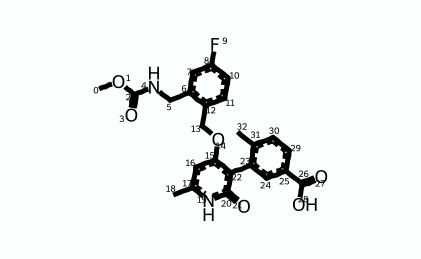 COC(=O)NCc1cc(F)ccc1COc1cc(C)[nH]c(=O)c1-c1cc(C(=O)O)ccc1C